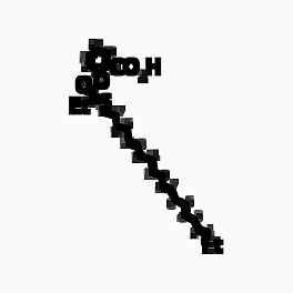 CCC=CCC=CCC=CCC=CCC=CCCCCS[C@H](CC)C(=O)Oc1ccccc1C(=O)O